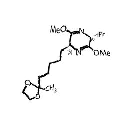 COC1=N[C@H](C(C)C)C(OC)=N[C@H]1CCCCCC1(C)OCCO1